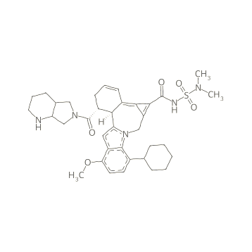 COc1ccc(C2CCCCC2)c2c1cc1n2CC2=C(C(=O)NS(=O)(=O)N(C)C)C2=C2C=CC[C@@H](C(=O)N3CC4CCCNC4C3)[C@@H]21